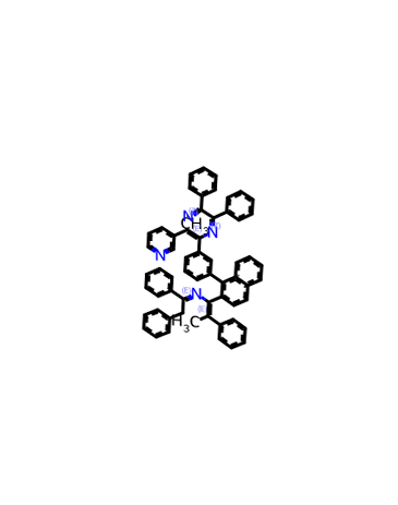 C\N=C(/C(=N\C(=C\c1cccnc1)c1cccc(-c2c(C(/N=C(\Cc3ccccc3)c3ccccc3)=C(/C)c3ccccc3)ccc3ccccc23)c1)c1ccccc1)c1ccccc1